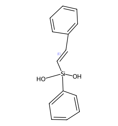 O[Si](O)(/C=C/c1ccccc1)c1ccccc1